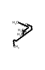 CCCCC/C=C\C/C=C\CCCCCCCCC(CCCCCCCC/C=C\C/C=C\CCCCC)N(C)CCN(C)C(=O)CCCCCCCCCCCCCCCCC